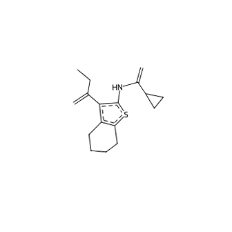 C=C(CC)c1c(NC(=C)C2CC2)sc2c1CCCC2